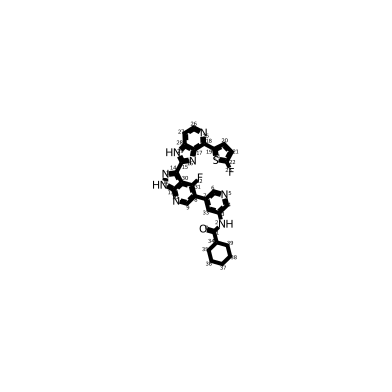 O=C(Nc1cncc(-c2cnc3[nH]nc(-c4nc5c(-c6ccc(F)s6)nccc5[nH]4)c3c2F)c1)C1CCCCC1